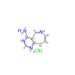 Cl.Nc1ncnc2c1C=NC=CC2